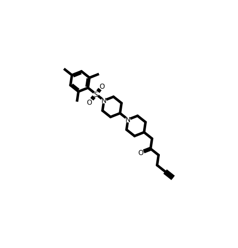 C#CCCC(=O)CC1CCN(C2CCN(S(=O)(=O)c3c(C)cc(C)cc3C)CC2)CC1